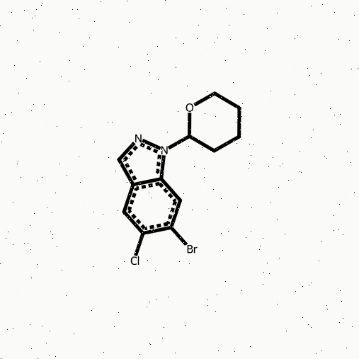 Clc1cc2cnn(C3CCCCO3)c2cc1Br